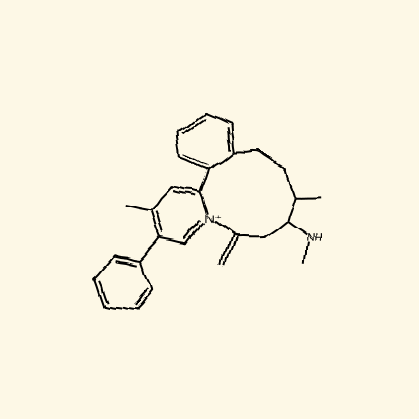 C=C1CC(NC)C(C)CCc2ccccc2-c2cc(C)c(-c3ccccc3)c[n+]21